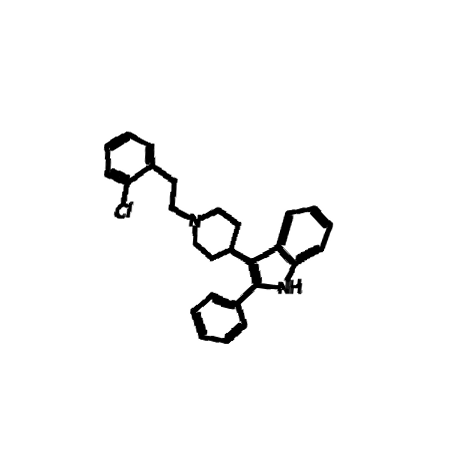 Clc1ccccc1CCN1CCC(c2c(-c3ccccc3)[nH]c3ccccc23)CC1